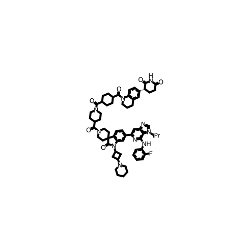 CC(C)n1cnc2cc(-c3ccc4c(c3)N(C3CC(N5CCCCC5)C3)C(=O)C43CCN(C(=O)C4CCN(C(=O)C5CCC(C(=O)N6CCCc7cc([C@H]8CCC(=O)NC8=O)ccc76)CC5)CC4)CC3)nc(Nc3ccccc3F)c21